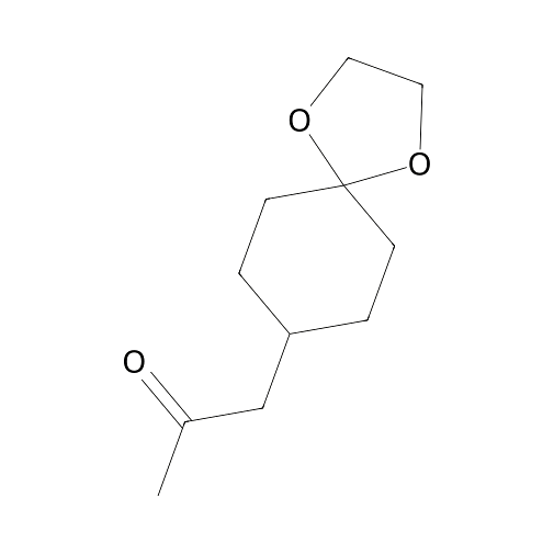 CC(=O)CC1CCC2(CC1)OCCO2